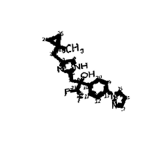 CC1(Cc2c[nH]c(CC(O)(c3ccc(-n4cccn4)cc3)C(F)F)n2)CC1